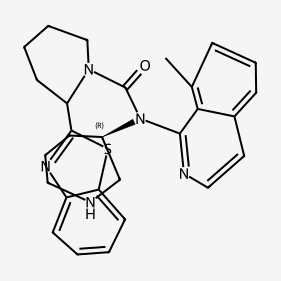 Cc1cccc2ccnc(N(C(=O)N3CCCCC3c3nc4ccccc4s3)[C@@H]3CCCNC3)c12